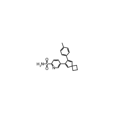 Cc1ccc(C2=CC3(C=C2c2ccc(S(N)(=O)=O)nc2)CCC3)cc1